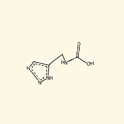 O=C(O)NCc1cnn[nH]1